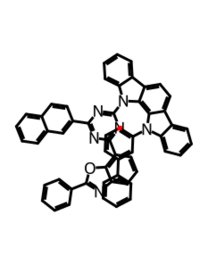 c1ccc(-c2cccc(-n3c4ccccc4c4ccc5c6ccccc6n(-c6nc(-c7ccc8ccccc8c7)nc(-c7cccc8nc(-c9ccccc9)oc78)n6)c5c43)c2)cc1